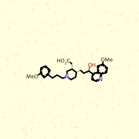 COc1cccc(CCCN2CC[C@@H](CC[C@@H](O)c3ccnc4ccc(OC)cc34)[C@@H](CC(=O)O)C2)c1